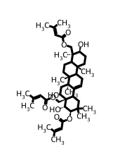 CC(C)=CC(=O)OC[C@@]12C(CC(C)(C)[C@@H](OC(=O)C=C(C)C)[C@@H]1O)C1=CCC3[C@@]4(C)CC[C@H](O)[C@](C)(COC(=O)C=C(C)C)C4CC[C@@]3(C)[C@]1(C)C[C@H]2O